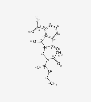 CCOC(=O)C(CN1C(=O)c2cccc([N+](=O)[O-])c2C1=O)C(C)=O